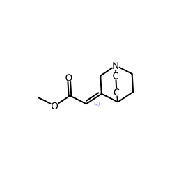 COC(=O)/C=C1\CN2CCC1CC2